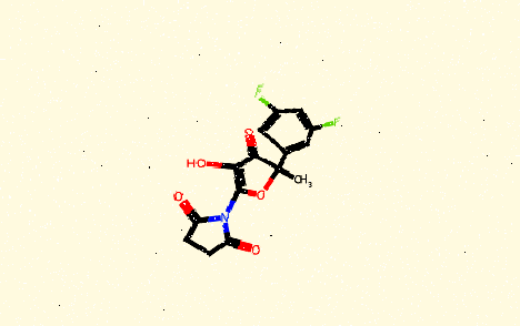 CC1(c2cc(F)cc(F)c2)OC(N2C(=O)CCC2=O)=C(O)C1=O